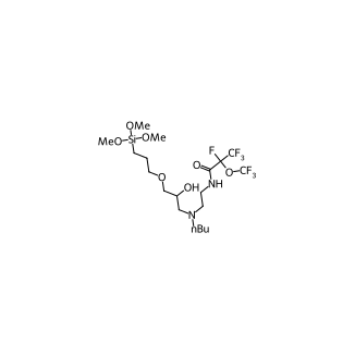 CCCCN(CCNC(=O)C(F)(OC(F)(F)F)C(F)(F)F)CC(O)COCCC[Si](OC)(OC)OC